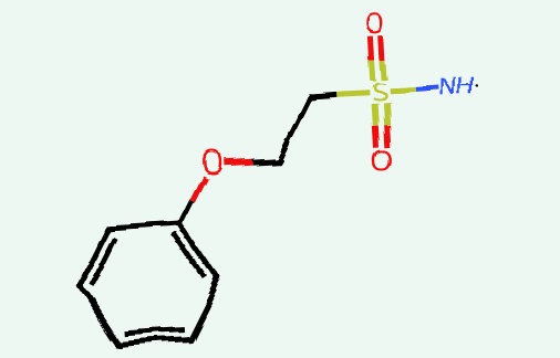 [NH]S(=O)(=O)CCOc1ccccc1